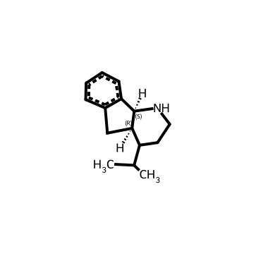 CC(C)C1CCN[C@@H]2c3ccccc3C[C@H]12